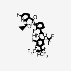 O=C(Nc1c(I)cc(C(F)(C(F)(F)F)C(F)(F)C(F)(F)F)cc1OC(F)F)c1cccc(N(OC(=O)C2CC2)C(=O)c2ccc(F)nc2)c1F